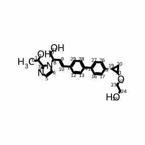 CC(O)c1nccn1C(/C=C/c1ccc(-c2ccc([C@@H]3C[C@H]3OCCO)cc2)cc1)CO